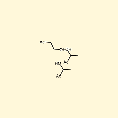 CC(=O)C(C)O.CC(=O)C(C)O.CC(=O)CCO